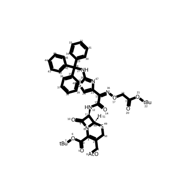 CC(=O)OCC1=C(C(=O)OC(C)(C)C)N2C(=O)[C@@H](NC(=O)/C(=N\OCC(=O)OC(C)(C)C)c3csc(NC(c4ccccc4)(c4ccccc4)c4ccccc4)n3)[C@H]2SC1